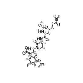 COC(=O)N[C@@H](CC/C=C/C(=O)N(C)C)C(=O)Nc1cccn(Cc2nc3c(OC(C)C)c(F)c(F)cc3n2C(=O)O)c1=O